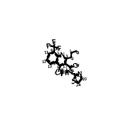 CC[CH]c1nc2c(C(F)(F)F)cccc2c(O)c1C(=O)Nc1nccs1